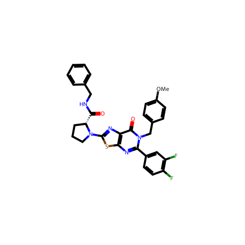 COc1ccc(Cn2c(-c3ccc(F)c(F)c3)nc3sc(N4CCC[C@@H]4C(=O)NCc4ccccc4)nc3c2=O)cc1